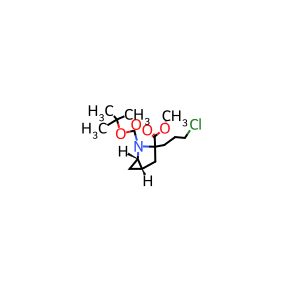 COC(=O)C1(CCCCl)C[C@@H]2C[C@@H]2N1C(=O)OC(C)(C)C